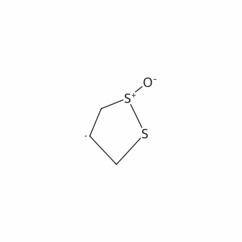 [O-][S+]1C[CH]CS1